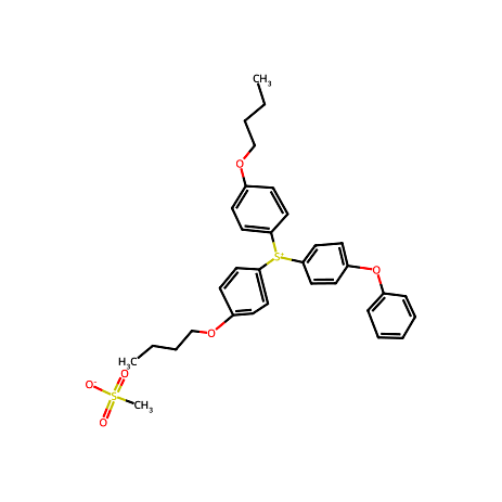 CCCCOc1ccc([S+](c2ccc(OCCCC)cc2)c2ccc(Oc3ccccc3)cc2)cc1.CS(=O)(=O)[O-]